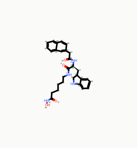 O=C(CCCCCNC(=O)[C@H](CC1CNc2ccccc21)NC(=O)Cc1ccc2ccccc2c1)NO